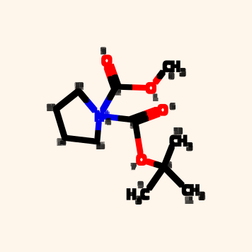 COC(=O)[N+]1(C(=O)OC(C)(C)C)CCCC1